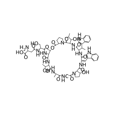 CC1NC(=O)C(C(C)O)NC(=O)C(NC(=O)C(CO)NC(=O)CC(N)C(=O)O)C(C)OC(=O)C2CCCN2C(=O)C(C(O)C(C)C)NC(=O)C(C(C)c2c[nH]c3ccccc23)NC(=O)/C(=C\c2c[nH]c3ccccc23)NC(=O)C2C(O)CCN2C(=O)CNC1=O